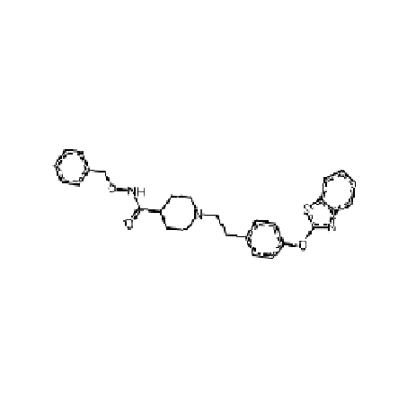 O=C(NOCc1ccccc1)C1CCN(CCc2ccc(Oc3nc4ccccc4s3)cc2)CC1